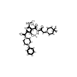 CNc1sc(C(=O)N2CCN(c3ccccc3)CC2)c(C)c1C(=O)NC(=O)CN1CCC(F)(F)CC1